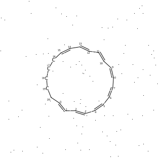 [C]1=C/C=C/C=C\C=C/C=C\C=C\C=C\C=C/CCCCC/1